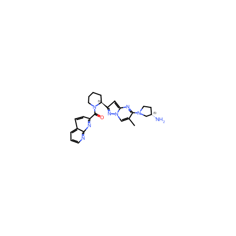 Cc1cn2nc([C@@H]3CCCCN3C(=O)c3ccc4cccnc4n3)cc2nc1N1CC[C@H](N)C1